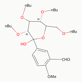 CCCCOCC1OC(O)(c2ccc(OC)c(C=O)c2)[C@H](OCCCC)C(OCCCC)[C@@H]1OCCCC